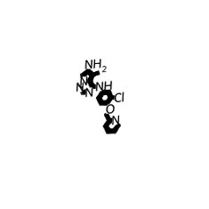 Cc1c(N)cn2ncnc(Nc3ccc(OCc4ccccn4)c(Cl)c3)c12